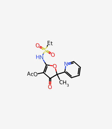 CCS(=O)(=O)NC1=C(OC(C)=O)C(=O)C(C)(c2ccccn2)O1